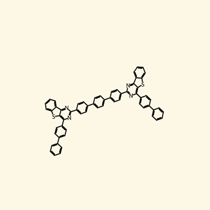 c1ccc(-c2ccc(-c3nc(-c4ccc(-c5ccc(-c6ccc(-c7nc(-c8ccc(-c9ccccc9)cc8)c8sc9ccccc9c8n7)cc6)cc5)cc4)nc4c3sc3ccccc34)cc2)cc1